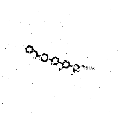 CC(=O)NC[C@H]1CN(c2ccc(-c3ccc(N4CCN(C(=O)Cc5ccccc5)CC4)nc3)c(F)c2)C(=O)O1